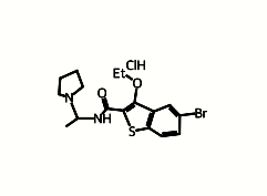 CCOc1c(C(=O)NC(C)N2CCCC2)sc2ccc(Br)cc12.Cl